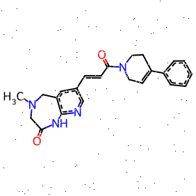 CN1CC(=O)Nc2ncc(C=CC(=O)N3CC=C(c4ccccc4)CC3)cc2C1